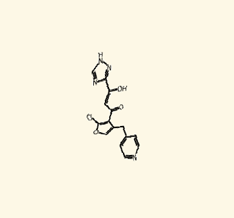 O=C(C=C(O)c1nc[nH]n1)c1c(Cc2ccncc2)coc1Cl